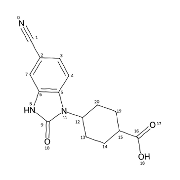 N#Cc1ccc2c(c1)[nH]c(=O)n2C1CCC(C(=O)O)CC1